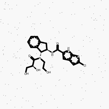 O=C(N[C@@H]1Cc2ccccc2[C@H]1N(CCO)C(=O)[C@@H](O)CO)c1cc2cc(Cl)sc2[nH]1